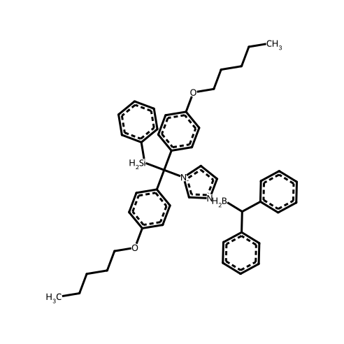 BC(c1ccccc1)c1ccccc1.CCCCCOc1ccc(C([SiH2]c2ccccc2)(c2ccc(OCCCCC)cc2)n2ccnc2)cc1